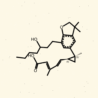 CCCCC(O)CCc1cc([C@@]2(C)C[C@H]2C=CC(C)=CC(=O)O)cc2c1OCC2(C)C